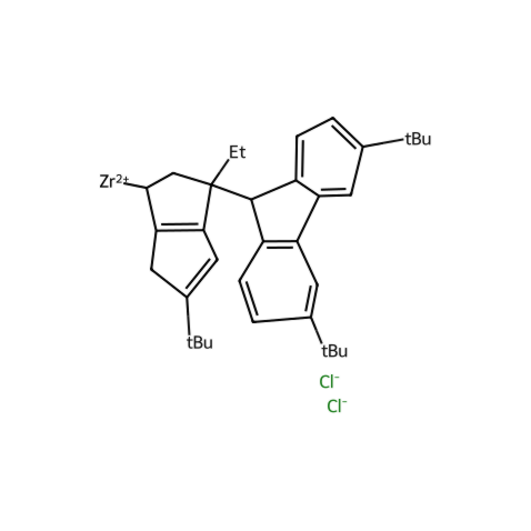 CCC1(C2c3ccc(C(C)(C)C)cc3-c3cc(C(C)(C)C)ccc32)C[CH]([Zr+2])C2=C1C=C(C(C)(C)C)C2.[Cl-].[Cl-]